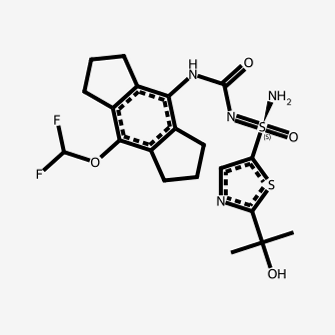 CC(C)(O)c1ncc([S@@](N)(=O)=NC(=O)Nc2c3c(c(OC(F)F)c4c2CCC4)CCC3)s1